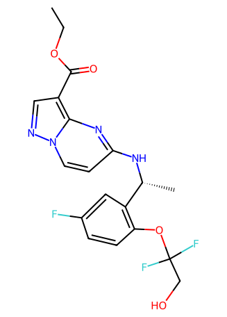 CCOC(=O)c1cnn2ccc(N[C@H](C)c3cc(F)ccc3OC(F)(F)CO)nc12